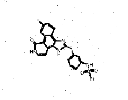 CCS(=O)(=O)Nc1cccc(Sc2nc3c4ccc(F)cc4c4c(=O)[nH]ccc4c3[nH]2)c1